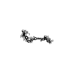 CCN(C)S(=O)(=O)Nc1ccc(F)c(Oc2ccc3ncn([C@H]4COC5(CCN(C6CC7(C6)CN(c6cc8c(cc6F)c(N6CCC(=O)NC6=O)nn8C)C7)CC5)C4)c(=O)c3c2)c1F